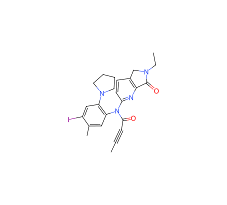 CC#CC(=O)N(c1ccc2c(n1)C(=O)N(CC)C2)c1cc(C)c(I)cc1N1CCCC1